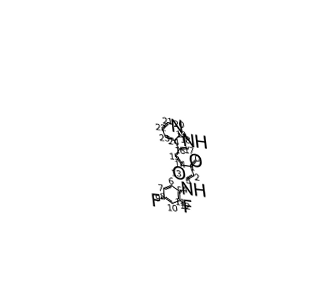 O=C1C=C(Nc2ccc(F)cc2F)O/C1=C/c1c[nH]c2ncccc12